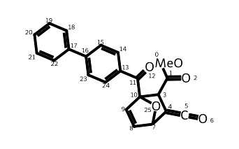 COC(=O)C1C(=C=O)C2C=CC1(C(=O)c1ccc(-c3ccccc3)cc1)O2